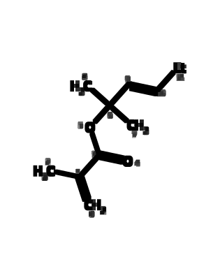 C=C(C)C(=O)OC(C)(C)C=CCC